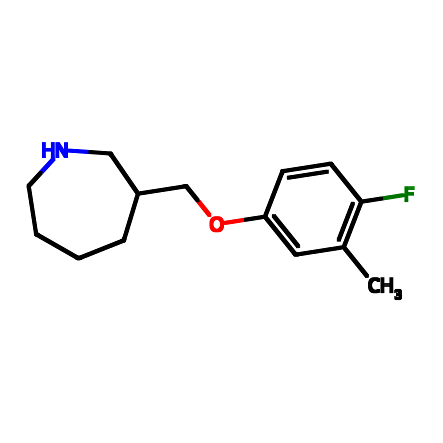 Cc1cc(OCC2CCCCNC2)ccc1F